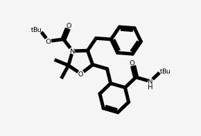 CC(C)(C)NC(=O)C1CC=CCC1CC1OC(C)(C)N(C(=O)OC(C)(C)C)C1Cc1ccccc1